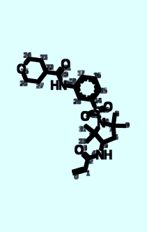 C=CC(=O)NC1CC(C)(C)N(S(=O)(=O)c2cccc(NC(=O)C3CCOCC3)c2)C1(C)C